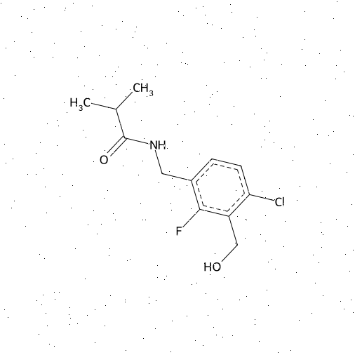 CC(C)C(=O)NCc1ccc(Cl)c(CO)c1F